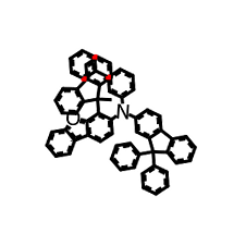 CC1(c2c(N(c3cccc(-c4ccccc4)c3)c3ccc4c(c3)C(c3ccccc3)(c3ccccc3)c3ccccc3-4)ccc3c2oc2ccccc23)c2ccccc2-c2ccccc21